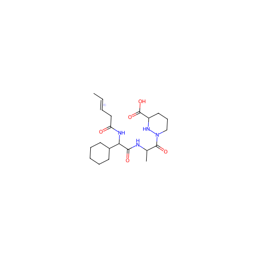 C/C=C/CC(=O)NC(C(=O)NC(C)C(=O)N1CCCC(C(=O)O)N1)C1CCCCC1